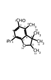 Cc1c(C=O)cc(C(C)C)c2c1C(C)(C)C(C)O2